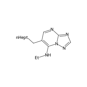 CCCCCCCCc1cnc2ncnn2c1NCC